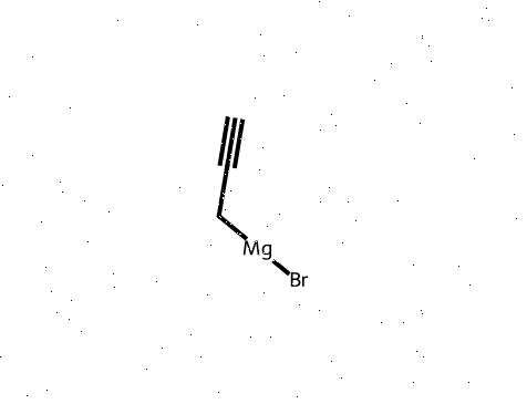 C#C[CH2][Mg][Br]